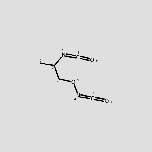 CC(CON=C=O)N=C=O